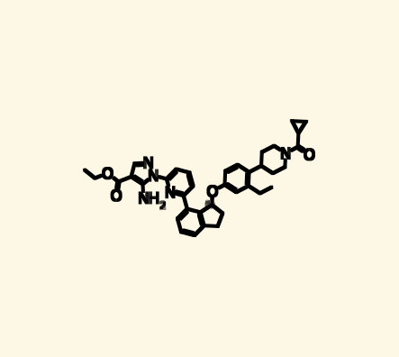 CCOC(=O)c1cnn(-c2cccc(-c3cccc4c3[C@@H](Oc3ccc(C5CCN(C(=O)C6CC6)CC5)c(CC)c3)CC4)n2)c1N